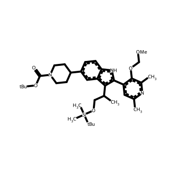 COCOc1c(-c2[nH]c3ccc(C4CCN(C(=O)OC(C)(C)C)CC4)cc3c2C(C)CO[Si](C)(C)C(C)(C)C)cc(C)nc1C